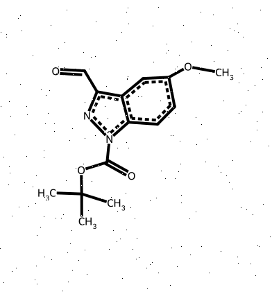 COc1ccc2c(c1)c(C=O)nn2C(=O)OC(C)(C)C